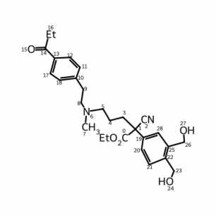 CCOC(=O)C(C#N)(CCCN(C)CCc1ccc(C(=O)CC)cc1)c1ccc(CO)c(CO)c1